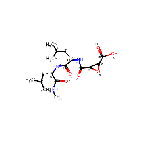 CNC(=O)[C@H](CC(C)C)NC(=O)[C@H](CC(C)C)NC(=O)C1OC1C(=O)O